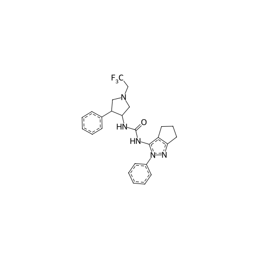 O=C(Nc1c2c(nn1-c1ccccc1)CCC2)NC1CN(CC(F)(F)F)CC1c1ccccc1